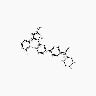 Cc1cccc(-c2nc(C(C)C)[nH]c2-c2cccc(-c3ccc(C(=O)N4CCOCC4)cc3)c2)n1